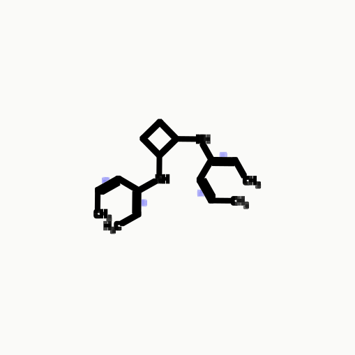 C/C=C\C(=C/C)NC1CCC1NC(/C=C\C)=C/C